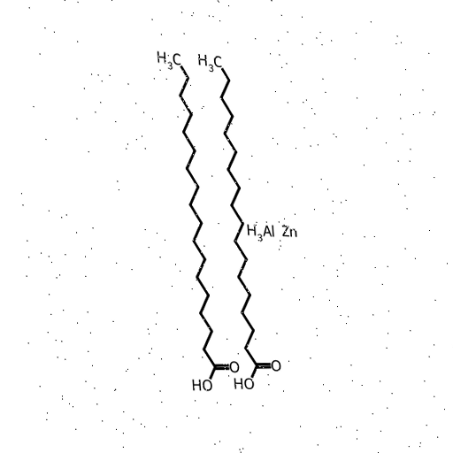 CCCCCCCCCCCCCCCCCC(=O)O.CCCCCCCCCCCCCCCCCC(=O)O.[AlH3].[Zn]